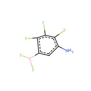 Nc1cc(B(F)F)c(F)c(F)c1F